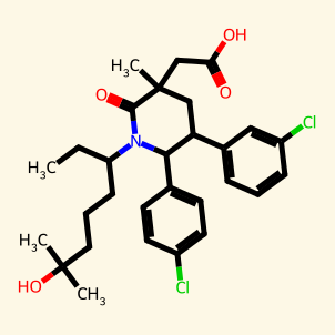 CCC(CCCC(C)(C)O)N1C(=O)C(C)(CC(=O)O)CC(c2cccc(Cl)c2)C1c1ccc(Cl)cc1